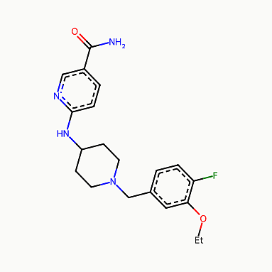 CCOc1cc(CN2CCC(Nc3ccc(C(N)=O)cn3)CC2)ccc1F